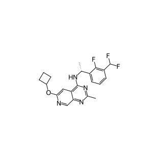 Cc1nc(N[C@H](C)c2cccc(C(F)F)c2F)c2cc(OC3CCC3)ncc2n1